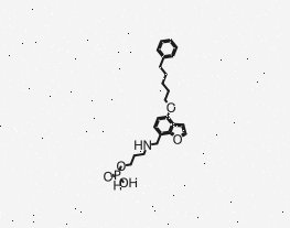 O=[PH](O)OCCCNCc1ccc(OCCCCCc2ccccc2)c2ccoc12